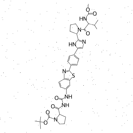 COC(=O)NC(C(=O)N1CCCC1c1ncc(-c2ccc(-c3nc4ccc(NC(=O)NC(=O)C5CCCN5C(=O)OC(C)(C)C)cc4s3)cc2)[nH]1)C(C)C